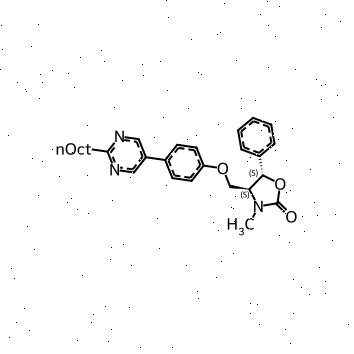 CCCCCCCCc1ncc(-c2ccc(OC[C@H]3[C@H](c4ccccc4)OC(=O)N3C)cc2)cn1